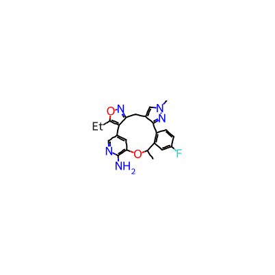 CCc1onc2c1-c1cnc(N)c(c1)OC(C)c1cc(F)ccc1-c1nn(C)cc1C2